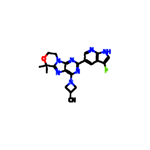 CC1(C)OCCn2c1nc1c(N3CC(C#N)C3)nc(-c3cnc4[nH]cc(F)c4c3)nc12